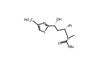 CCCCC(=O)N(C)[C@H](C[C@@H](O)c1nc(C(=O)O)cs1)C(C)C